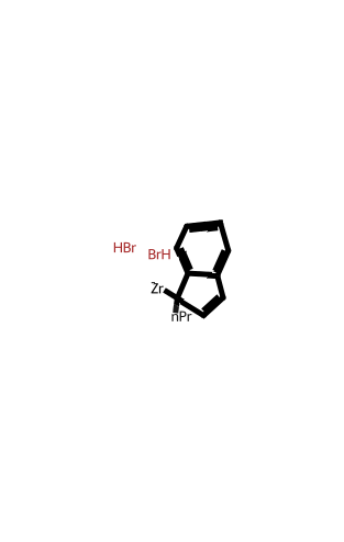 Br.Br.CCC[C]1([Zr])C=Cc2ccccc21